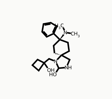 CN(C)[C@]1(c2ccccc2)CC[C@]2(CC1)CNC(O)N2CC1(O)CCC1